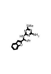 CCCC(Nc1nc(N)nc(SC)n1)c1cc2ccccc2o1